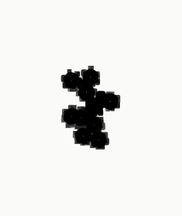 c1ccc(-n2c3ccccc3c3cc(-c4nc(-n5c6cc7ccccc7cc6c6c7c8ccccc8c8ccccc8c7ccc65)nc5c4oc4ccccc45)ccc32)cc1